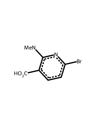 CNc1nc(Br)ccc1C(=O)O